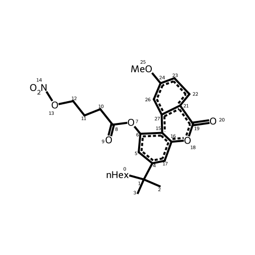 CCCCCCC(C)(C)c1cc(OC(=O)CCCO[N+](=O)[O-])c2c(c1)oc(=O)c1ccc(OC)cc12